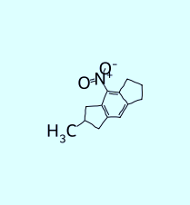 CC1Cc2cc3c(c([N+](=O)[O-])c2C1)CCC3